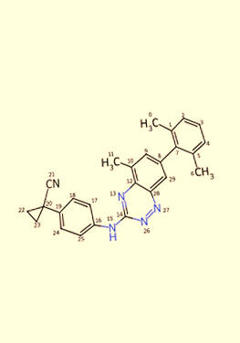 Cc1cccc(C)c1-c1cc(C)c2nc(Nc3ccc(C4(C#N)CC4)cc3)nnc2c1